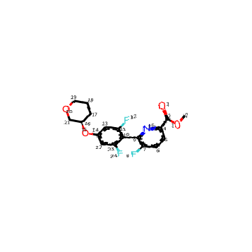 COC(=O)c1ccc(F)c(-c2c(F)cc(O[C@@H]3CCCOC3)cc2F)n1